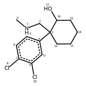 CNCC1(c2ccc(Cl)c(Cl)c2)CCCCC1O